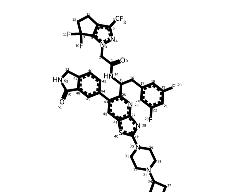 O=C(Cn1nc(C(F)(F)F)c2c1C(F)(F)CC2)NC(Cc1cc(F)cc(F)c1)c1nc2nc(N3CCN(C4COC4)CC3)sc2cc1-c1ccc2c(c1)C(=O)NC2